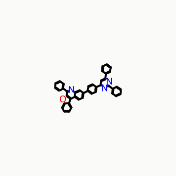 c1ccc(-c2cc(-c3ccc(-c4ccc5c(c4)nc(-c4ccccc4)c4oc6ccccc6c45)cc3)nc(-c3ccccc3)n2)cc1